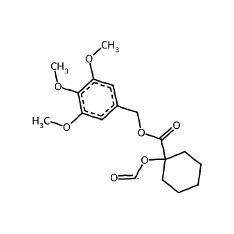 COc1cc(COC(=O)C2(O[C]=O)CCCCC2)cc(OC)c1OC